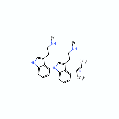 CC(C)NCCc1c[nH]c2ccccc12.CC(C)NCCc1c[nH]c2ccccc12.O=C(O)/C=C/C(=O)O